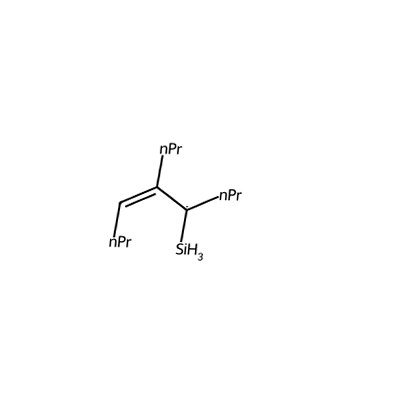 CCCC=C(CCC)[C]([SiH3])CCC